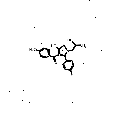 Cc1ccc(C(=O)C2=C(O)CN(CC(C)O)C2c2ccc(Cl)cc2)cc1